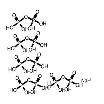 O=P(O)(O)OP(=O)(O)O.O=P(O)(O)OP(=O)(O)O.O=P(O)(O)OP(=O)(O)O.O=P(O)(O)OP(=O)(O)O.O=P(O)(O)OP(=O)(O)O.[NaH]